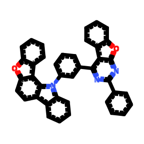 c1ccc(-c2nc(-c3cccc(-n4c5ccccc5c5ccc6oc7ccccc7c6c54)c3)c3c(n2)oc2ccccc23)cc1